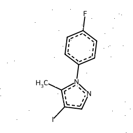 Cc1c(I)cnn1-c1ccc(F)cc1